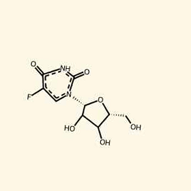 O=c1[nH]c(=O)n([C@@H]2O[C@H](CO)C(O)C2O)cc1F